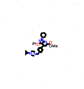 COC(=O)c1cc(-c2ccc(CN3CCN(C4CC4)CC3)cc2)c2c(OC(C)C)nn(C3CCCCC3)c2n1